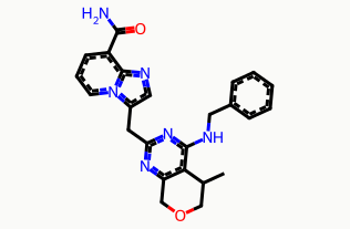 CC1COCc2nc(Cc3cnc4c(C(N)=O)cccn34)nc(NCc3ccccc3)c21